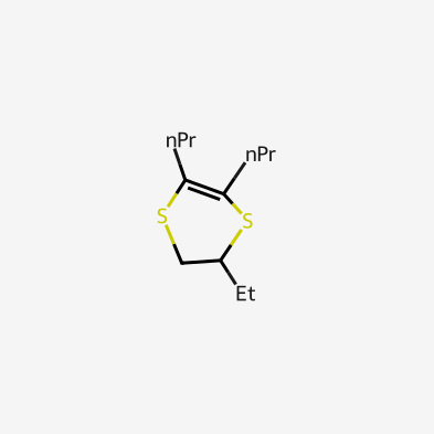 CCCC1=C(CCC)SC(CC)CS1